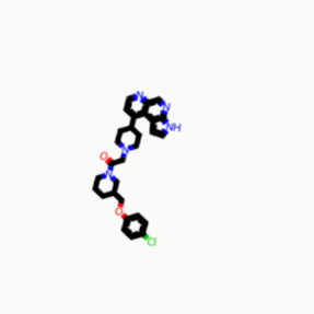 O=C(CN1CCC(c2ccnc3cnc4[nH]ccc4c23)CC1)N1CCCC(COc2ccc(Cl)cc2)C1